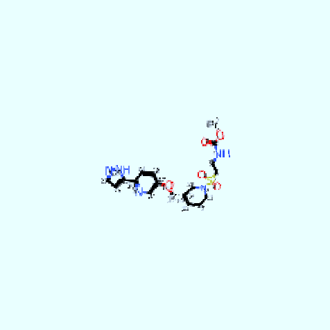 CC(C)OC(=O)NCCS(=O)(=O)N1CCC[C@H](COc2ccc(-c3ccn[nH]3)nc2)C1